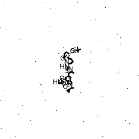 CNS(=O)(=O)c1cc(-c2sc(Nc3cccc(N4C(=O)CC[C@@H]4CO[Si](C)(C)C(C)(C)C)n3)nc2C)cc2c1C(=O)N(C(C)C1CC1)C2